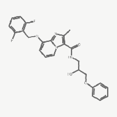 Cc1nc2c(OCc3c(F)cccc3F)cccn2c1C(=O)NCC(O)COc1ccccc1